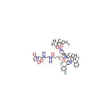 CC(C)(C)OC(=O)N1CCC(CN(C(=O)CSCCC(=O)NCCNC(=O)CN2C(=O)C=CC2=O)C(c2cc(-c3cc(F)ccc3F)cn2Cc2ccccc2)C(C)(C)C)C1